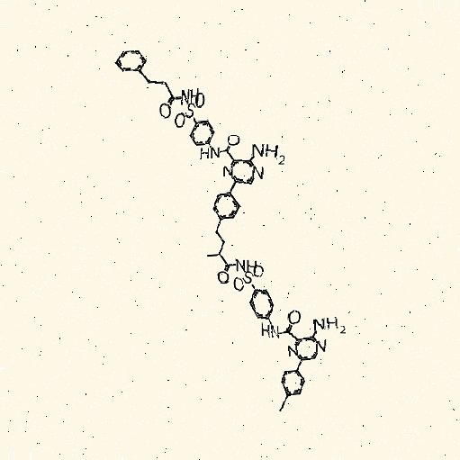 Cc1ccc(-c2cnc(N)c(C(=O)Nc3ccc(S(=O)(=O)NC(=O)C(C)CCc4ccc(-c5cnc(N)c(C(=O)Nc6ccc(S(=O)(=O)NC(=O)CCc7ccccc7)cc6)n5)cc4)cc3)n2)cc1